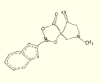 CN1CC(=O)C2(C1)OB(c1cc3ccccc3s1)OC2=O